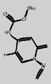 C=NN1C=C(F)C(NC(=O)OC(C)(C)C)=CC1=C